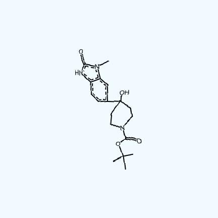 Cn1c(=O)[nH]c2ccc(C3(O)CCN(C(=O)OC(C)(C)C)CC3)cc21